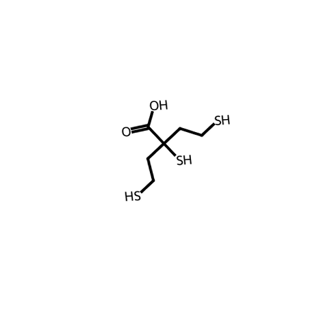 O=C(O)C(S)(CCS)CCS